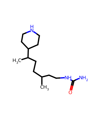 CC(CCNC(N)=O)CCC(C)C1CCNCC1